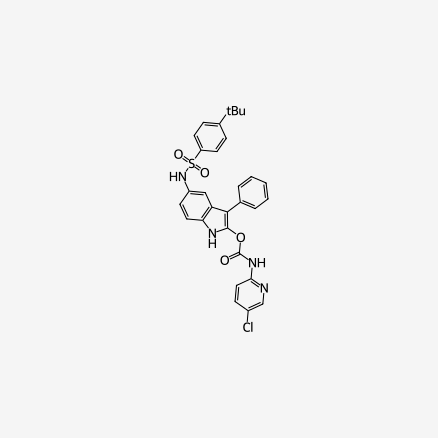 CC(C)(C)c1ccc(S(=O)(=O)Nc2ccc3[nH]c(OC(=O)Nc4ccc(Cl)cn4)c(-c4ccccc4)c3c2)cc1